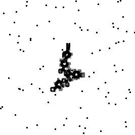 CN(C(=O)Oc1ccc(Cl)cn1)[C@@H]1CN(C(=O)C2CCN(c3ccc(C#N)cn3)CC2)C[C@H]1c1ccc(Cl)cc1